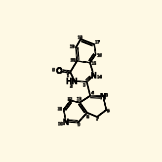 O=c1[nH]c(C2=NCCc3cnccc32)nc2ccccc12